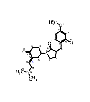 COc1ccc(CC2CCN(C3CCC(=O)/C(=C/CN(C)C)C3)C2=O)c(Cl)c1